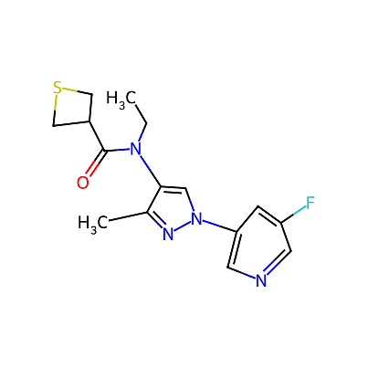 CCN(C(=O)C1CSC1)c1cn(-c2cncc(F)c2)nc1C